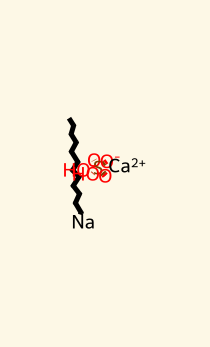 CCCCCCCCCCC[CH2][Na].O=S(=O)([O-])O.[Ca+2].[OH-]